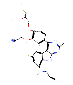 C=CCN(C)c1cc(F)cc2c1[nH]c1nc(C)nc(-c3ccc(OCC(O)CF)c(OCC#N)c3)c12